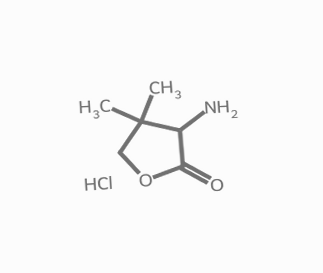 CC1(C)COC(=O)C1N.Cl